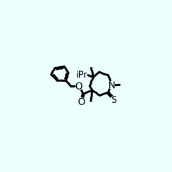 CC(C)C1(C)CCN(C)C(=S)CC(C)(C(=O)OCc2ccccc2)C1